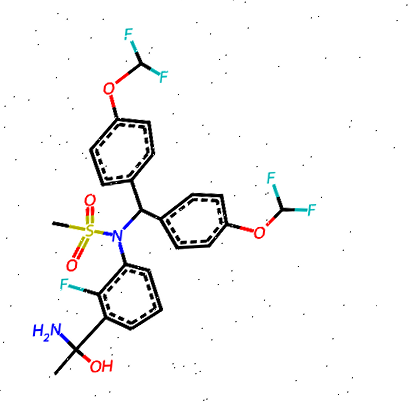 CC(N)(O)c1cccc(N(C(c2ccc(OC(F)F)cc2)c2ccc(OC(F)F)cc2)S(C)(=O)=O)c1F